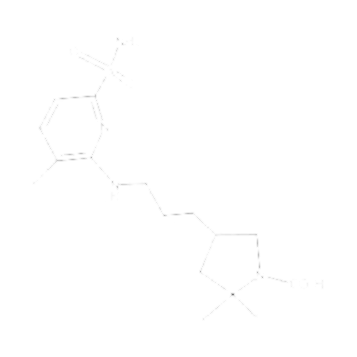 Cc1ccc(S(N)(=O)=O)nc1NCCCC1CN(C(=O)O)C(C)(C)C1